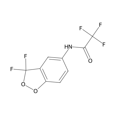 O=C(Nc1ccc2c(c1)C(F)(F)OO2)C(F)(F)F